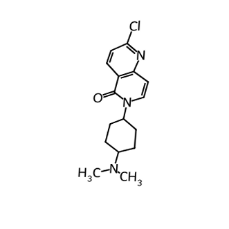 CN(C)C1CCC(n2ccc3nc(Cl)ccc3c2=O)CC1